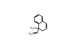 C=CC1(C)CC=Cc2ccccc21